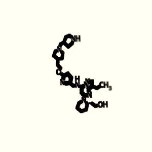 CCc1cnn2c(NCc3ccc(OCCC4CCN(CC5CCNCC5)CC4)nc3)cc(N3CCCC[C@H]3CCO)nc12